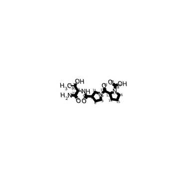 C[C@@H](O)[C@H](NC(=O)C1CCN(C(=O)C2CCCN2C(=O)O)C1)C(N)=O